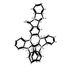 O=C1c2cc(-n3c4ccccc4n4c5ccccc5nc34)c(-n3c4ccccc4n4c5ccccc5nc34)cc2-c2nc3ccccc3n21